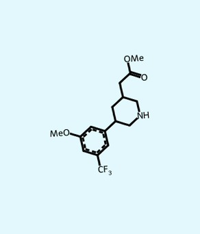 COC(=O)CC1CNCC(c2cc(OC)cc(C(F)(F)F)c2)C1